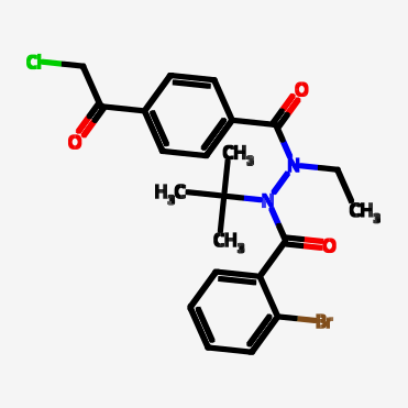 CCN(C(=O)c1ccc(C(=O)CCl)cc1)N(C(=O)c1ccccc1Br)C(C)(C)C